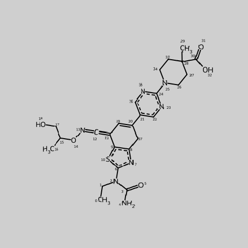 CCN(C(N)=O)c1nc2c(s1)C(=C=NOC(C)CO)C=C(c1cnc(N3CCC(C)(C(=O)O)CC3)nc1)C2